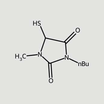 CCCCN1C(=O)C(S)N(C)C1=O